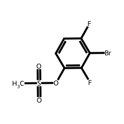 CS(=O)(=O)Oc1ccc(F)c(Br)c1F